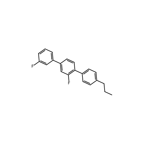 CCCc1ccc(-c2ccc(-c3cccc(F)c3)cc2F)cc1